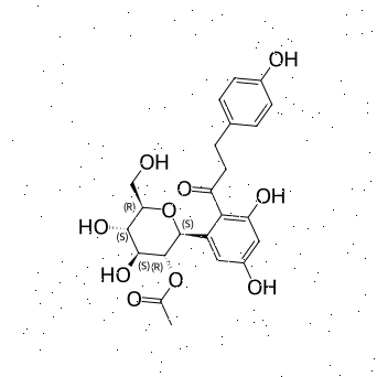 CC(=O)O[C@@H]1[C@@H](O)[C@H](O)[C@@H](CO)O[C@H]1c1cc(O)cc(O)c1C(=O)CCc1ccc(O)cc1